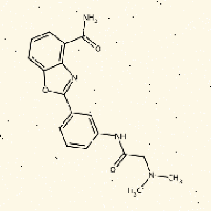 CN(C)CC(=O)Nc1cccc(-c2nc3c(C(N)=O)cccc3o2)c1